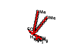 COCCOCCOCCOCCOCCOCCOCCOCCOCCOCCOCCOCCCC1(CCCOCCOCCOCCOCCOCCOCCOCCOCCOCCOCCOCCOC)c2cc(-c3ccc(CCCC(=O)O)cc3)ccc2-c2ccc(-c3ccc4c(c3)C(C)(CCCCN)c3cc(B5OC(C)(C)C(C)(C)O5)ccc3-4)cc21